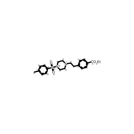 CCOC(=O)c1ccc(CCN2CCN(S(=O)(=O)c3ccc(C)cc3)CC2)cc1